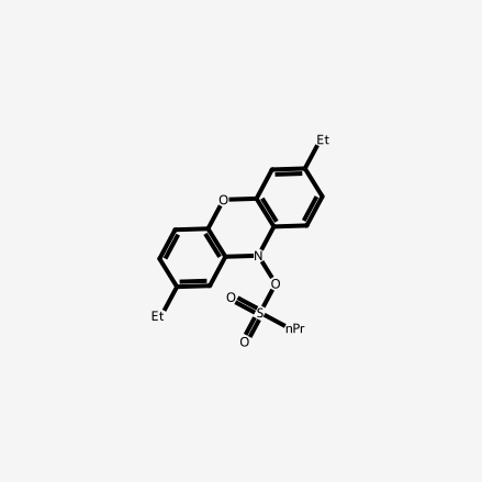 CCCS(=O)(=O)ON1c2ccc(CC)cc2Oc2ccc(CC)cc21